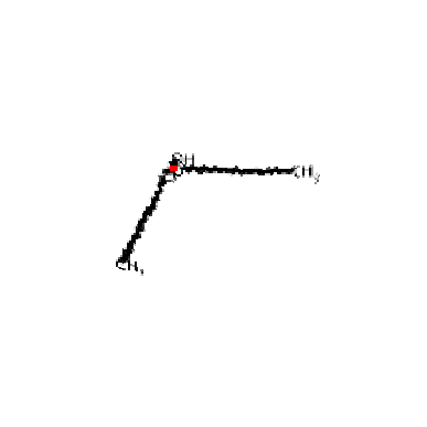 CCCCCCCCCCCCCCCCCCCCCCCCOC[C@@H](CO)OCCCCCCCCCCCCCCCCCCCCCCCC